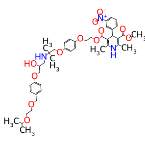 COC(=O)C1=C(C)NC(C)=C(C(=O)OCCOc2ccc(OCC(C)(C)NCC(O)COc3ccc(COCCOC(C)C)cc3)cc2)C1c1cccc([N+](=O)[O-])c1